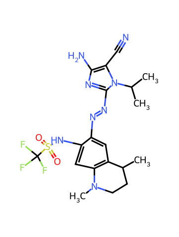 CC1CCN(C)c2cc(NS(=O)(=O)C(F)(F)F)c(N=Nc3nc(N)c(C#N)n3C(C)C)cc21